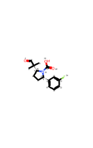 CC(C)(C=O)[C@H]1CC[C@@H](c2cccc(F)c2)N1C(=O)O